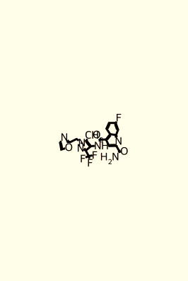 Cc1c(NC(=O)c2cc(C(N)=O)nc3cc(F)ccc23)c(C(F)(F)F)nn1Cc1ncco1